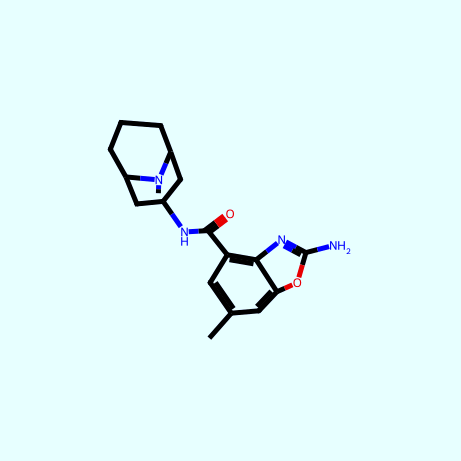 Cc1cc(C(=O)NC2CC3CCCC(C2)N3C)c2nc(N)oc2c1